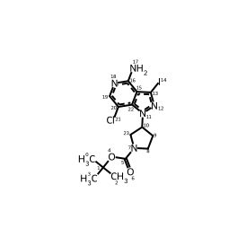 CC(C)(C)OC(=O)N1CCC(n2nc(I)c3c(N)ncc(Cl)c32)C1